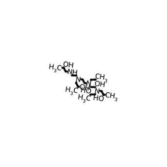 CC(O)CNCCN(CCN(CCN(CC(C)O)CC(C)O)CC(C)O)CC(C)O